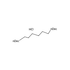 CCCCCCCCCCCCCCCCCCCCCCCCCC.Cl